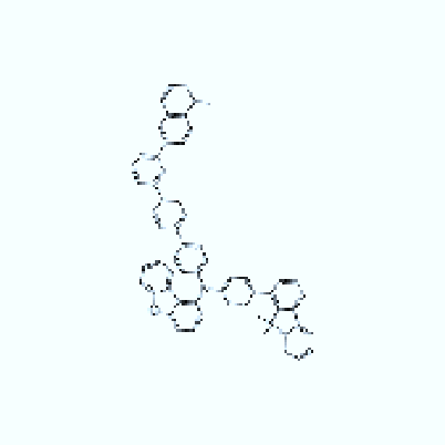 CC1CC=Cc2cc(-c3cccc(-c4ccc(-c5ccc(N(c6ccc(-c7cccc8c7C(C)(C)c7ccccc7-8)cc6)c6cccc7oc8ccccc8c67)cc5)cc4)c3)ccc21